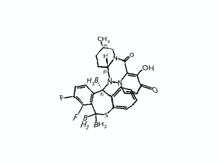 BC1(B)Sc2ccccc2[C@](B)(N2[C@@H]3CC[C@@H](C)CN3C(=O)c3c(O)c(=O)ccn32)c2ccc(F)c(F)c21